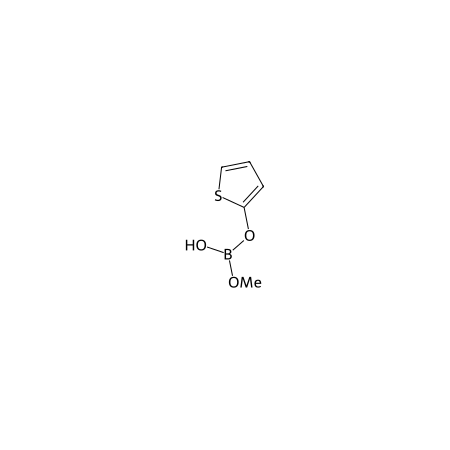 COB(O)Oc1cccs1